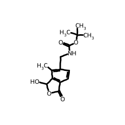 Cc1c(CNC(=O)OC(C)(C)C)ccc2c1C(O)OC2=O